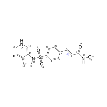 O=C(/C=C/c1ccc(S(=O)(=O)n2ccc3c2=CNCC=3)cc1)NO